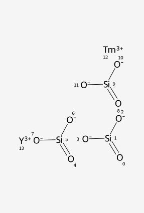 O=[Si]([O-])[O-].O=[Si]([O-])[O-].O=[Si]([O-])[O-].[Tm+3].[Y+3]